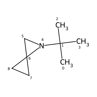 CC(C)(C)N1CC12CC2